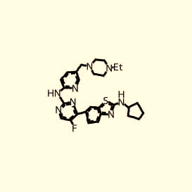 CCN1CCN(Cc2ccc(Nc3ncc(F)c(-c4ccc5nc(NC6CCCC6)sc5c4)n3)nc2)CC1